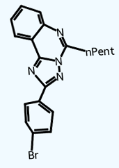 CCCCCc1nc2ccccc2c2nc(-c3ccc(Br)cc3)nn12